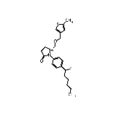 CCCCCC(F)c1ccc(N2C(=O)CC[C@@H]2COCc2csc(C)c2)cc1